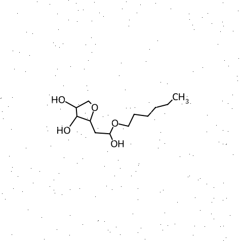 CCCCCCOC(O)CC1OCC(O)C1O